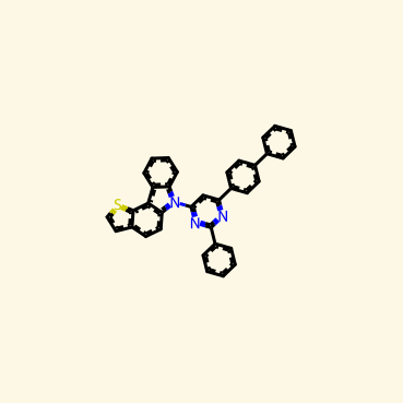 c1ccc(-c2ccc(-c3cc(-n4c5ccccc5c5c6sccc6ccc54)nc(-c4ccccc4)n3)cc2)cc1